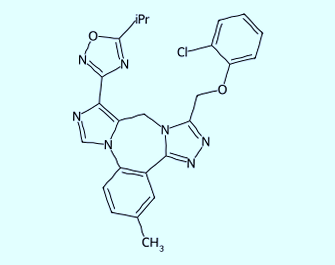 Cc1ccc2c(c1)-c1nnc(COc3ccccc3Cl)n1Cc1c(-c3noc(C(C)C)n3)ncn1-2